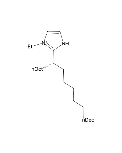 CCCCCCCCCCCCCCC[C@H](CCCCCCCC)c1[nH]cc[n+]1CC